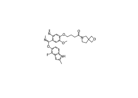 C=Nc1cc(OCCCC(=O)N2CCC3(COC3)C2)c(OC)cc1/C(=N\C)Oc1ccc2[nH]c(C)cc2c1F